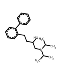 CC(C)N(CC(O)CCc1ccccc1-c1ccccc1)C(C)C